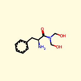 N[C@@H](Cc1ccccc1)C(=O)N(CO)CO